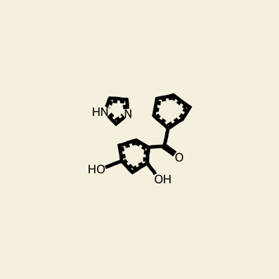 O=C(c1ccccc1)c1ccc(O)cc1O.c1c[nH]cn1